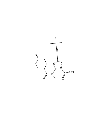 C=C([C@H]1CC[C@H](C)CC1)N(C)c1cc(C#CC(C)(C)C)sc1C(=O)O